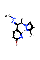 CC(C(=NNC=O)c1ccc(Br)nc1)n1ccc(C(F)(F)F)n1